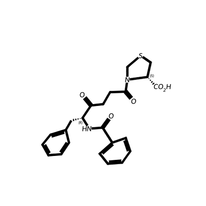 O=C(N[C@H](Cc1ccccc1)C(=O)CCC(=O)N1CSC[C@@H]1C(=O)O)c1ccccc1